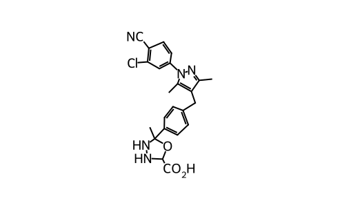 Cc1nn(-c2ccc(C#N)c(Cl)c2)c(C)c1Cc1ccc(C2(C)NNC(C(=O)O)O2)cc1